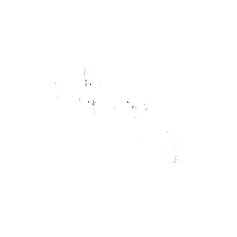 FC(F)(F)c1ccc(CC(=S)N2CCC3Nc4ccccc4NC3C2)cc1